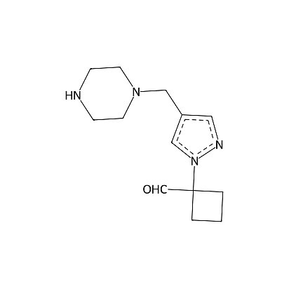 O=CC1(n2cc(CN3CCNCC3)cn2)CCC1